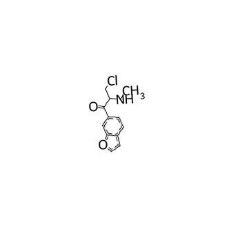 CNC(CCl)C(=O)c1ccc2ccoc2c1